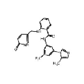 Cc1cncn1-c1cc(NC(=O)c2ccccc2NCc2ccc(=O)[nH]c2)cc(C(F)(F)F)c1